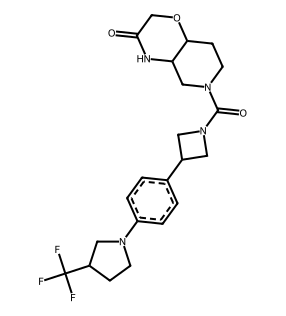 O=C1COC2CCN(C(=O)N3CC(c4ccc(N5CCC(C(F)(F)F)C5)cc4)C3)CC2N1